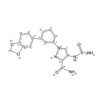 NC(=O)Nc1cn(-c2cccc(-c3ccc4c(c3)OCO4)c2)nc1C(N)=O